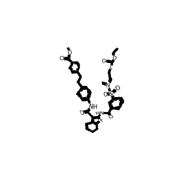 CCOC(=O)CCCN(C)S(=O)(=O)c1cccc(C(=O)Nc2sc3c(c2C(=O)Nc2ccc(CCc4ccc(C(=O)OC)cc4)cc2)CCCC3)c1